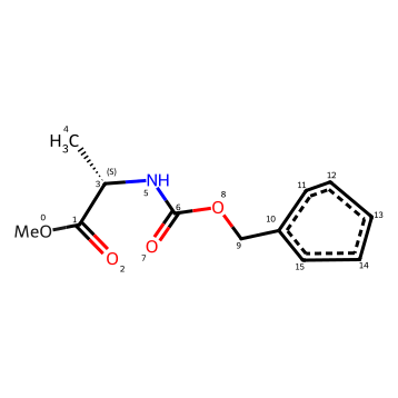 COC(=O)[C@H](C)NC(=O)OCc1ccccc1